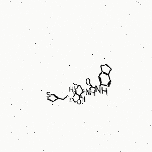 O=C(Nc1ccc2c(c1)CCC2)N[C@H]1CO[C@@H]2[C@@H](CCc3ccsc3)CO[C@@H]21